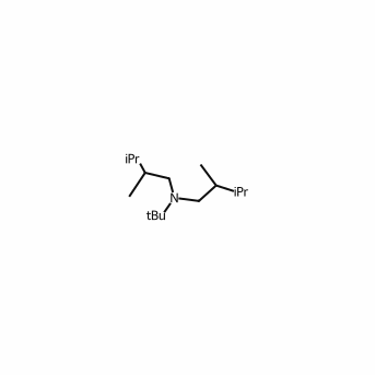 CC(C)C(C)CN(CC(C)C(C)C)C(C)(C)C